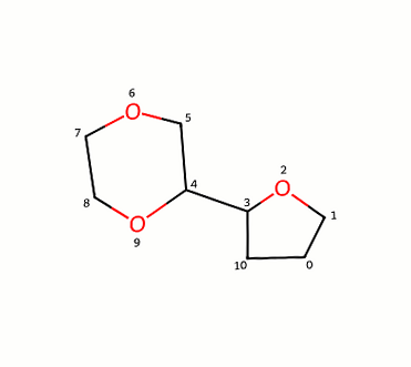 C1COC(C2COCCO2)C1